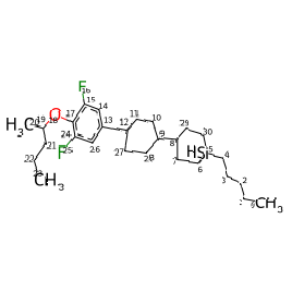 CCCCC[SiH]1CCC(C2CCC(c3cc(F)c(OC(C)CCC)c(F)c3)CC2)CC1